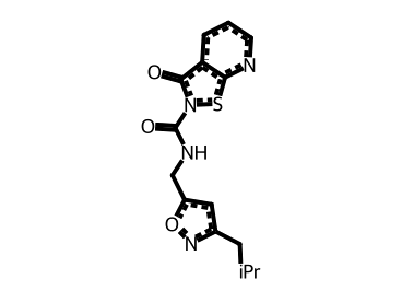 CC(C)Cc1cc(CNC(=O)n2sc3ncccc3c2=O)on1